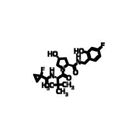 CC(C)(C)[C@H](NC(=O)C1(F)CC1)C(=O)N1C[C@H](O)C[C@H]1C(=O)NCc1ccc(F)cc1O